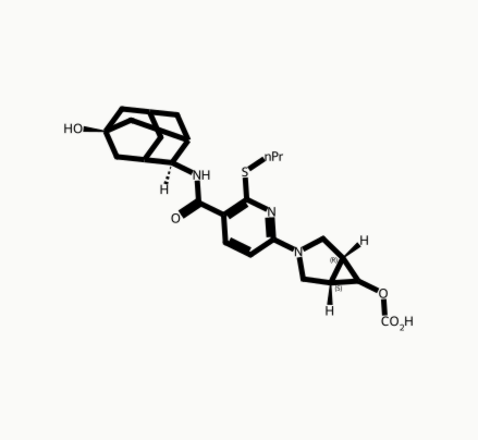 CCCSc1nc(N2C[C@@H]3C(OC(=O)O)[C@@H]3C2)ccc1C(=O)N[C@H]1C2CC3CC1C[C@@](O)(C3)C2